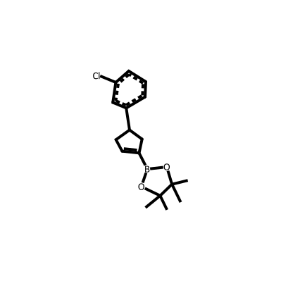 CC1(C)OB(C2=CCC(c3cccc(Cl)c3)C2)OC1(C)C